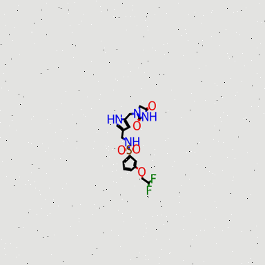 O=C1CN(Cc2cc(CNS(=O)(=O)c3cccc(OCC(F)F)c3)c[nH]2)C(=O)N1